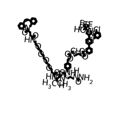 CC(C)[C@H](NC(=O)CCOCCOCCOCCOCCNC(=O)CCC(=O)N1Cc2ccccc2C#Cc2ccccc21)C(=O)N[C@@H](CCCNC(N)=O)C(=O)Nc1ccc(COC(=O)N(C)CCCS(=O)(=O)c2cccc(-c3ccc(C4CC(C(O)(C(F)(F)F)C(F)(F)F)=NN4c4c(Cl)cccc4Cl)cc3)c2)cc1